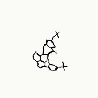 Cc1c2ccc(CC(C)(C)C)cc2cc2c3nccc4ccc5c6ccc(C(C)(C)C)cc6n(c12)c5c43